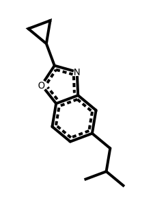 CC(C)Cc1ccc2oc(C3CC3)nc2c1